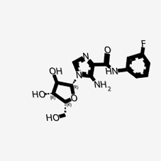 Nc1c(C(=O)Nc2cccc(F)c2)ncn1[C@@H]1O[C@H](CO)[C@H](O)C1O